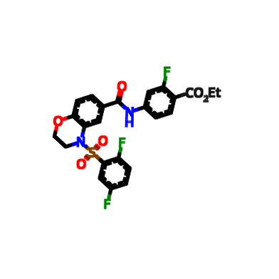 CCOC(=O)c1ccc(NC(=O)c2ccc3c(c2)N(S(=O)(=O)c2cc(F)ccc2F)CCO3)cc1F